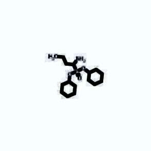 CCCC(N)P(=O)(OC1CCCCC1)OC1CCCCC1